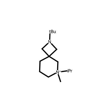 CC(C)[N+]1(C)CCCC2(CN(C(C)(C)C)C2)C1